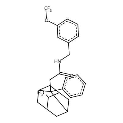 CC1C2CC3CC1CC(C2)C3(CC(=O)NCc1cccc(OC(F)(F)F)c1)c1ccccc1